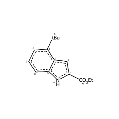 CCOC(=O)c1cc2c(C(C)(C)C)cccc2[nH]1